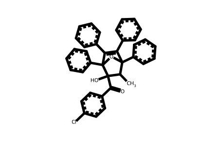 CC1C2(c3ccccc3)OC(c3ccccc3)(C(c3ccccc3)=C2c2ccccc2)C1(O)C(=O)c1ccc(Cl)cc1